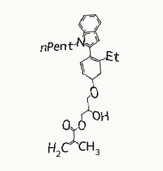 C=C(C)C(=O)OCC(O)COC1C=CC(c2cc3ccccc3n2CCCCC)=C(CC)C1